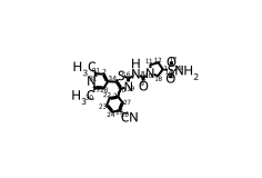 Cc1cc(-c2sc(NC(=O)N3CC[C@@H](S(N)(=O)=O)C3)nc2-c2cccc(C#N)c2)cc(C)n1